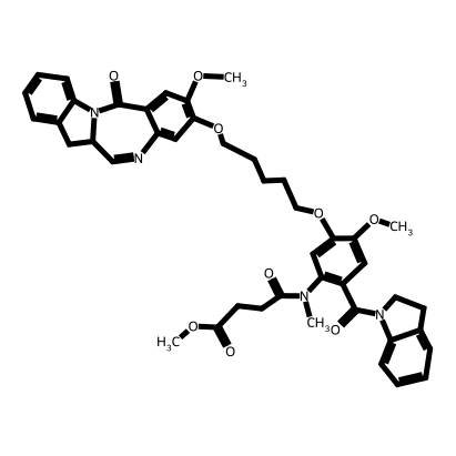 COC(=O)CCC(=O)N(C)c1cc(OCCCCCOc2cc3c(cc2OC)C(=O)N2c4ccccc4CC2C=N3)c(OC)cc1C(=O)N1CCc2ccccc21